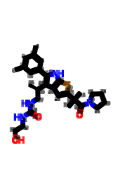 Cc1cc(C)cc(-c2[nH]c3sc(C(C)(C)C(=O)N4CCCC4)cc3c2[C@H](C)CNC(=O)NCCO)c1